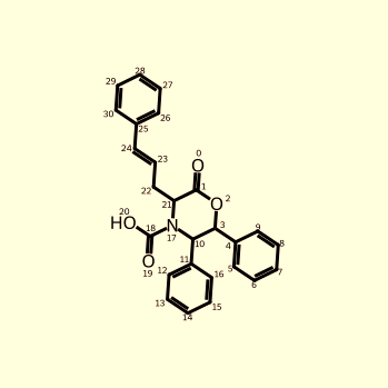 O=C1OC(c2ccccc2)C(c2ccccc2)N(C(=O)O)C1CC=Cc1ccccc1